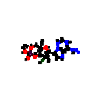 CC(C)OP1(=O)OC[C@H]2O[C@@H](c3cnc4c(N)ncnn34)[C@](C)(F)C2O1